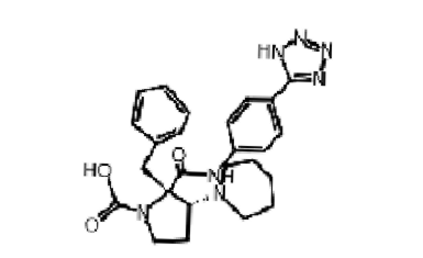 O=C(O)N1CC[C@@H](N2CCCCC2)[C@@]1(Cc1ccccc1)C(=O)Nc1ccc(-c2nnn[nH]2)cc1